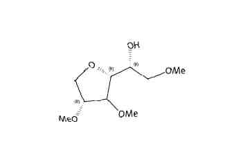 COC[C@@H](O)[C@H]1OC[C@@H](OC)C1OC